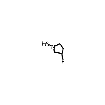 FC1CCN(S)C1